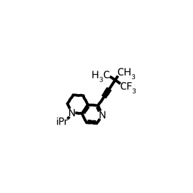 CC(C)N1CCCc2c1ccnc2C#CC(C)(C)C(F)(F)F